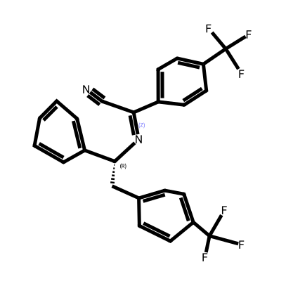 N#C/C(=N\[C@H](Cc1ccc(C(F)(F)F)cc1)c1ccccc1)c1ccc(C(F)(F)F)cc1